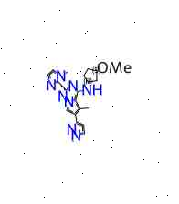 CO[C@H]1CC[C@@H](Nc2nc(-c3nccn3C)nn3cc(-c4ccn(C)n4)c(C)c23)C1